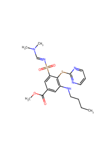 CCCCNc1cc(C(=O)OC)cc(S(=O)(=O)N=CN(C)C)c1Sc1ncccn1